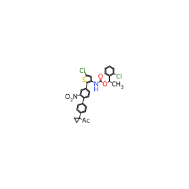 CC(=O)C1(c2ccc(-c3ccc(-c4sc(Cl)cc4NC(=O)O[C@H](C)c4ccccc4Cl)cc3[N+](=O)[O-])cc2)CC1